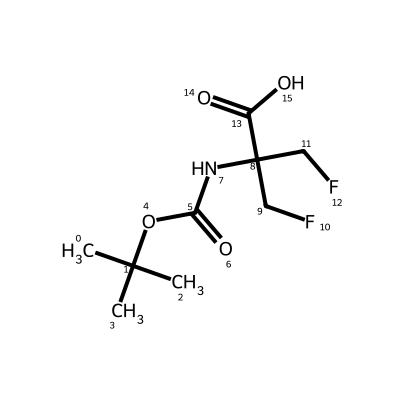 CC(C)(C)OC(=O)NC(CF)(CF)C(=O)O